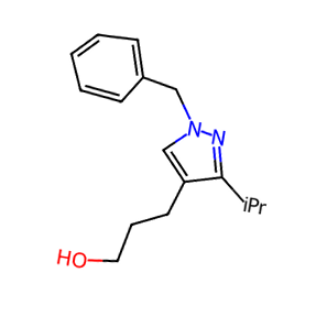 CC(C)c1nn(Cc2ccccc2)cc1CCCO